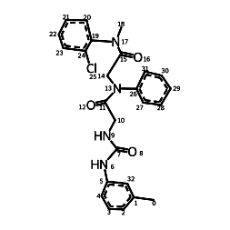 Cc1cccc(NC(=O)NCC(=O)N(CC(=O)N(C)c2ccccc2Cl)c2ccccc2)c1